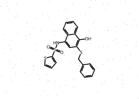 O=S(=O)(Nc1cc(SCc2ccccc2)c(O)c2ccccc12)c1cccs1